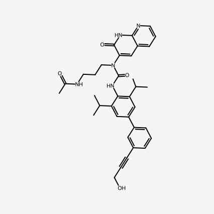 CC(=O)NCCCN(C(=O)Nc1c(C(C)C)cc(-c2cccc(C#CCO)c2)cc1C(C)C)c1cc2cccnc2[nH]c1=O